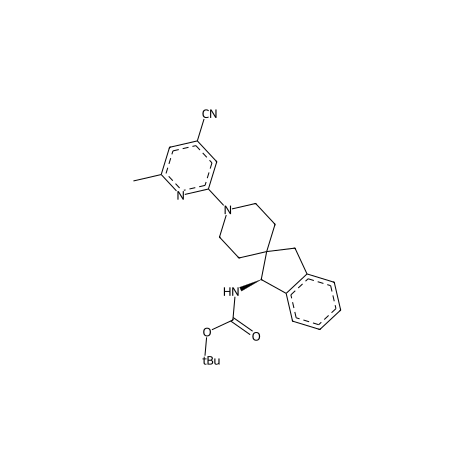 Cc1cc(C#N)cc(N2CCC3(CC2)Cc2ccccc2[C@H]3NC(=O)OC(C)(C)C)n1